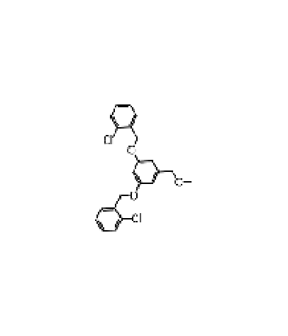 COCc1cc(OCc2ccccc2Cl)cc(OCc2ccccc2Cl)c1